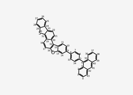 c1ccc2c(-c3ccc(-c4ccc5c(c4)oc4ccc6c(ccc7c8ccccc8sc76)c45)cc3)c3ccccc3cc2c1